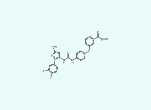 CNC(=O)c1cc(Oc2ccc(NC(=O)Nc3cc(C(C)(C)C)nn3-c3ccc(F)c(F)c3)cc2)ccn1